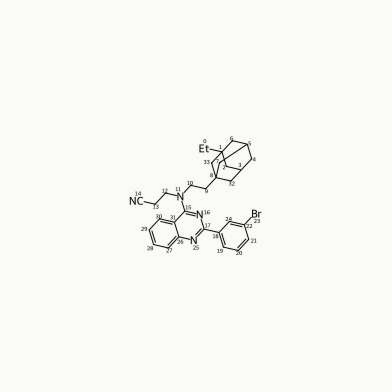 CCC12CC3CC(C1)CC(CCN(CCC#N)c1nc(-c4cccc(Br)c4)nc4ccccc14)(C3)C2